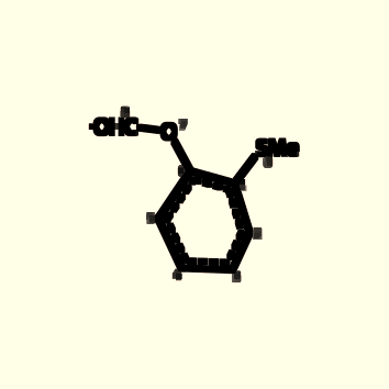 CSc1ccccc1O[C]=O